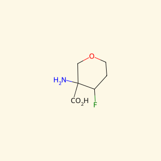 NC1(C(=O)O)COCCC1F